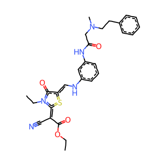 CCOC(=O)C(C#N)=c1sc(=CNc2cccc(NC(=O)CN(C)CCc3ccccc3)c2)c(=O)n1CC